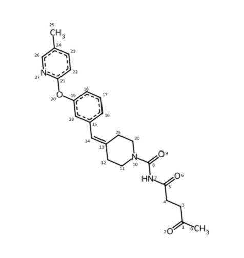 CC(=O)CCC(=O)NC(=O)N1CCC(=Cc2cccc(Oc3ccc(C)cn3)c2)CC1